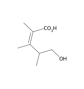 CC(C(=O)O)=C(C)C(C)CO